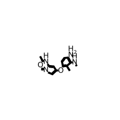 C=N/C(=C\C(=C/C)Oc1ccc(N)c(NC)c1C)NC(C)=O